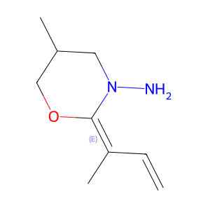 C=C/C(C)=C1/OCC(C)CN1N